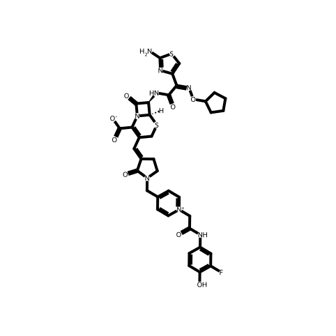 Nc1nc(/C(=N/OC2CCCC2)C(=O)N[C@@H]2C(=O)N3C(C(=O)[O-])=C(C=C4CCN(Cc5cc[n+](CC(=O)Nc6ccc(O)c(F)c6)cc5)C4=O)CS[C@H]23)cs1